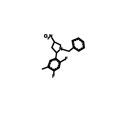 Cc1cc(C2CC([N+](=O)[O-])CN2Cc2ccccc2)c(F)cc1F